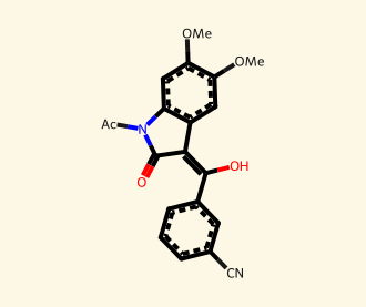 COc1cc2c(cc1OC)N(C(C)=O)C(=O)C2=C(O)c1cccc(C#N)c1